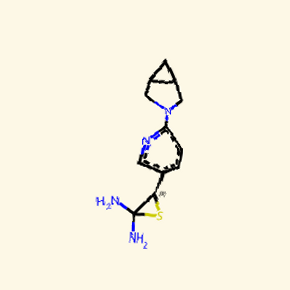 NC1(N)S[C@@H]1c1ccc(N2CC3CC3C2)nc1